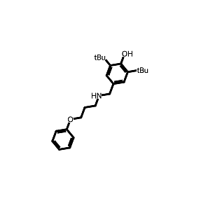 CC(C)(C)c1cc(CNCCCOc2ccccc2)cc(C(C)(C)C)c1O